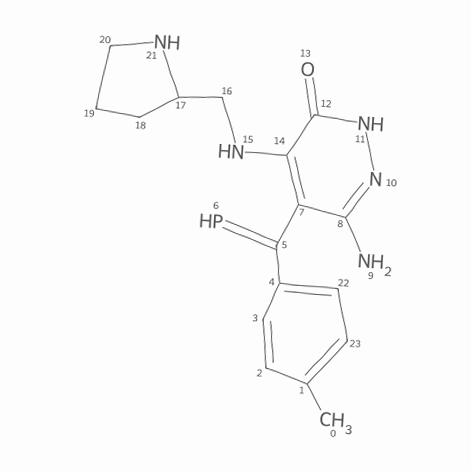 Cc1ccc(C(=P)c2c(N)n[nH]c(=O)c2NCC2CCCN2)cc1